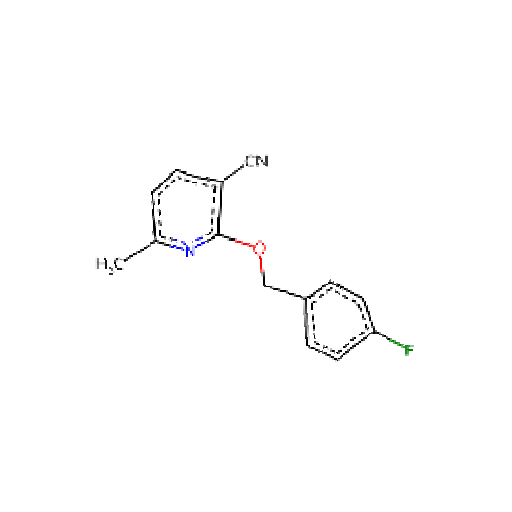 Cc1ccc(C#N)c(OCc2ccc(F)cc2)n1